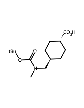 CN(C[C@H]1CC[C@H](C(=O)O)CC1)C(=O)OC(C)(C)C